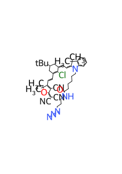 CC1(C)OC(=C(C#N)C#N)C(C#N)=C1C=CC1=C(Cl)C(=CC=C2N(CCCCCC(=O)NCCCN=[N+]=[N-])c3ccccc3C2(C)C)CC(C(C)(C)C)C1